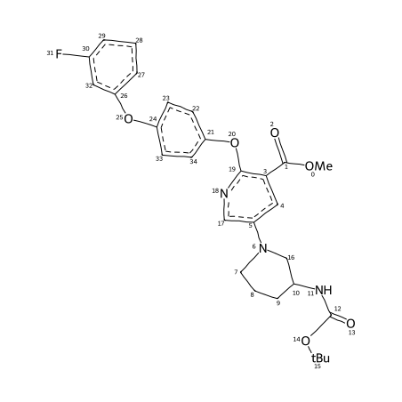 COC(=O)c1cc(N2CCCC(NC(=O)OC(C)(C)C)C2)cnc1Oc1ccc(Oc2cccc(F)c2)cc1